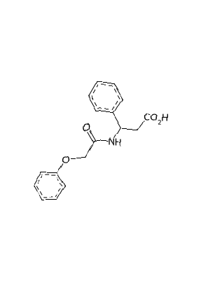 O=C(O)CC(NC(=O)COc1ccccc1)c1ccccc1